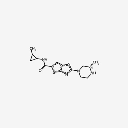 CC1CC1NC(=O)c1cc2sc(N3CCN[C@H](C)C3)nc2s1